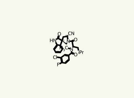 CC(C)CC(C(=O)N1C[C@]2(C[C@H]1C#N)C(=O)Nc1ccccc12)N(C)C(=O)c1ccc(F)c(Cl)c1